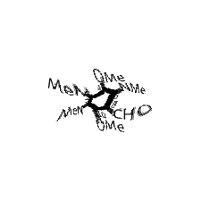 CNc1c(NC)c(OC)c(NC)c(C=O)c1OC